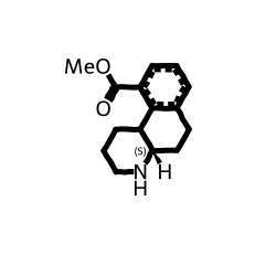 COC(=O)c1cccc2c1C1CCCN[C@H]1CC2